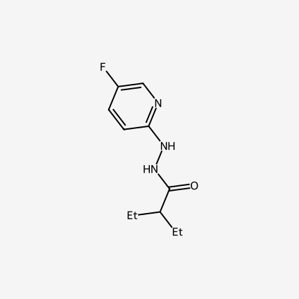 CCC(CC)C(=O)NNc1ccc(F)cn1